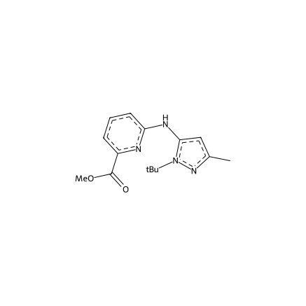 COC(=O)c1cccc(Nc2cc(C)nn2C(C)(C)C)n1